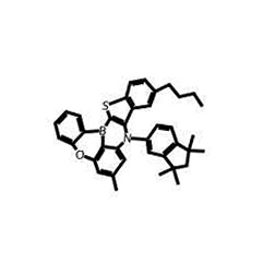 CCCCc1ccc2sc3c(c2c1)N(c1ccc2c(c1)C(C)(C)CC2(C)C)c1cc(C)cc2c1B3c1ccccc1O2